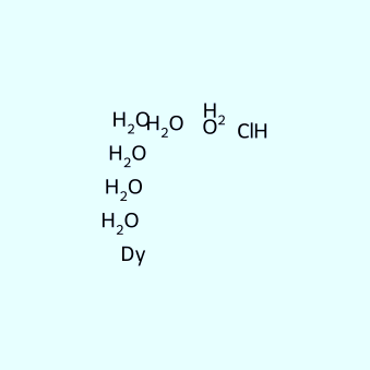 Cl.O.O.O.O.O.O.[Dy]